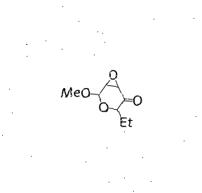 CCC1OC(OC)C2OC2C1=O